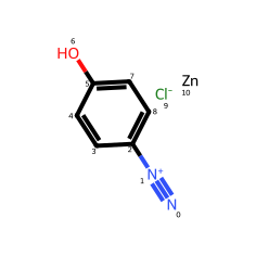 N#[N+]c1ccc(O)cc1.[Cl-].[Zn]